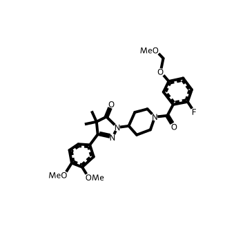 COCOc1ccc(F)c(C(=O)N2CCC(N3N=C(c4ccc(OC)c(OC)c4)C(C)(C)C3=O)CC2)c1